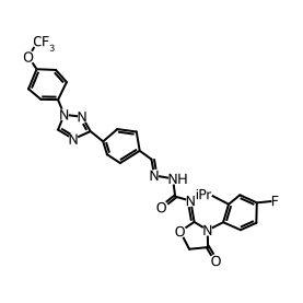 CC(C)c1cc(F)ccc1N1C(=O)CO/C1=N\C(=O)N/N=C/c1ccc(-c2ncn(-c3ccc(OC(F)(F)F)cc3)n2)cc1